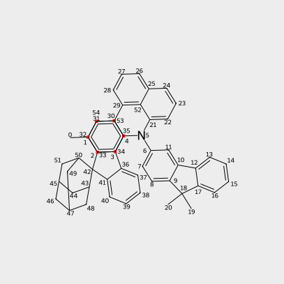 Cc1ccc(N(c2ccc3c(c2)-c2ccccc2C3(C)C)c2cccc3cccc(-c4ccc5c(c4)-c4ccccc4C54C5CC6CC(C5)CC4C6)c23)cc1